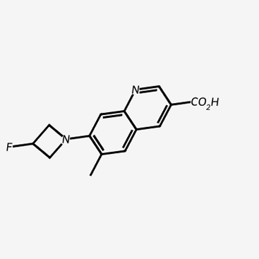 Cc1cc2cc(C(=O)O)cnc2cc1N1CC(F)C1